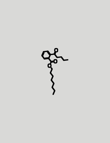 CCCCCCCCOC(=O)c1ccccc1C(=O)CCCC